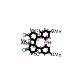 COc1cc(OC)c2c(c1)[pH]c1cc(OC)cc(OC)c1c1ccc(Cl)c(OC)c1c1c(OC)c(Cl)ccc21